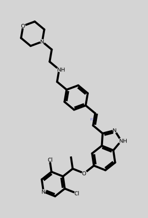 CC(Oc1ccc2[nH]nc(/C=C/c3ccc(CNCCN4CCOCC4)cc3)c2c1)c1c(Cl)cncc1Cl